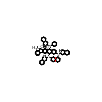 CC1(C)c2ccccc2-c2cc3c(N(c4ccccc4)c4cc5ccccc5cn4)c4cc(N(c5ccccc5)c5cc6ccccc6cn5)ccc4c(N(c4ccccc4)c4cc5ccccc5cn4)c3cc21